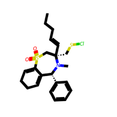 CCCC=C[C@]1(CSCl)CS(=O)(=O)C2=CCCC=C2[C@@H](c2ccccc2)N1C